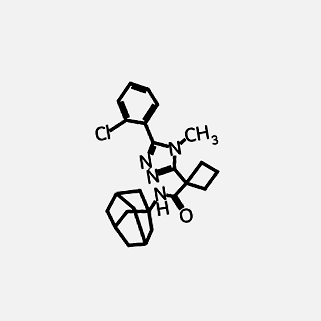 Cn1c(-c2ccccc2Cl)nnc1C1(C(=O)NC23CC4CC(CC(C4)C2)C3)CCC1